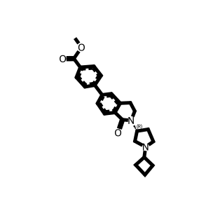 COC(=O)c1ccc(-c2ccc3c(c2)CCN([C@@H]2CCN(C4CCC4)C2)C3=O)cc1